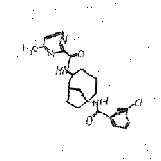 Cc1ccnc(C(=O)NC2CCCC3(NC(=O)c4cccc(Cl)c4)CCC2C3)n1